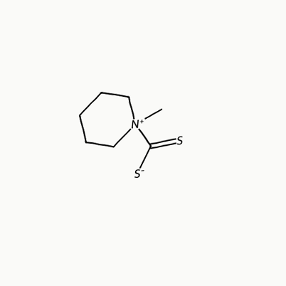 C[N+]1(C(=S)[S-])CCCCC1